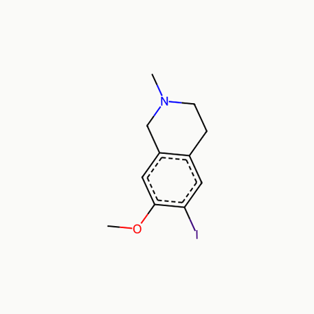 COc1cc2c(cc1I)CCN(C)C2